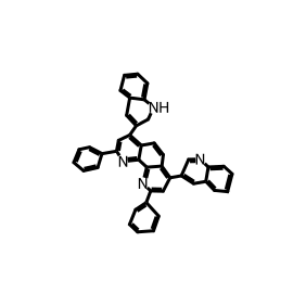 C1=C(c2cc(-c3ccccc3)nc3c2ccc2c(-c4cnc5ccccc5c4)cc(-c4ccccc4)nc23)CNc2ccccc21